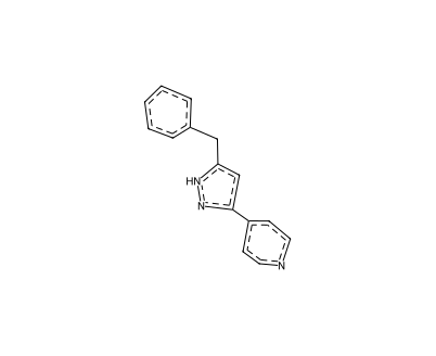 c1ccc(Cc2cc(-c3ccncc3)n[nH]2)cc1